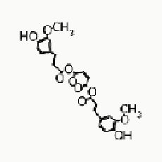 COc1cc(/C=C/C(=O)OC(=O)/C=C\C(=O)OC(=O)/C=C/c2ccc(O)c(OC)c2)ccc1O